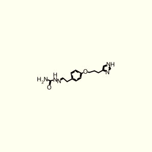 NC(=O)NN=CCc1ccc(OCCCc2c[nH]cn2)cc1